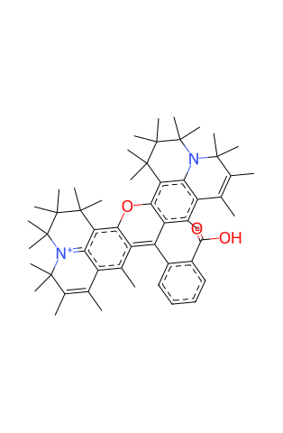 CC1=C(C)C(C)(C)N2c3c1c(C)c1c(c3C(C)(C)C(C)(C)C2(C)C)Oc2c3c4c(c(C)c2=C1c1ccccc1C(=O)O)C(C)=C(C)C(C)(C)[N+]=4C(C)(C)C(C)(C)C3(C)C